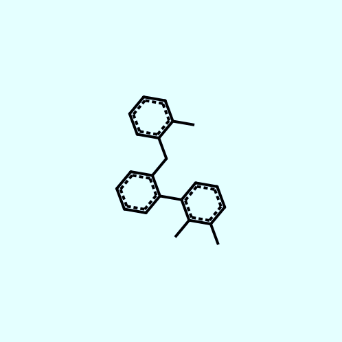 Cc1ccccc1Cc1ccccc1-c1cccc(C)c1C